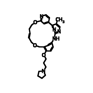 Cc1cnc2nc1-c1ccnc(c1)OCC/C=C/COCc1cc(ccc1OCCCN1CCCC1)N2